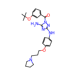 CC(C)(C)Oc1cccc(C(=O)n2nc(Nc3ccc(OCCCN4CCCC4)cc3)nc2N)c1